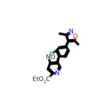 CCOC(=O)c1cc([N+](=O)[O-])c(-c2ccc(-c3c(C)noc3C)cc2F)cn1